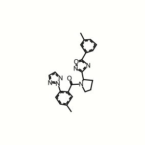 Cc1cccc(-c2nc(C3CCCN3C(=O)c3cc(C)ccc3-n3nccn3)no2)c1